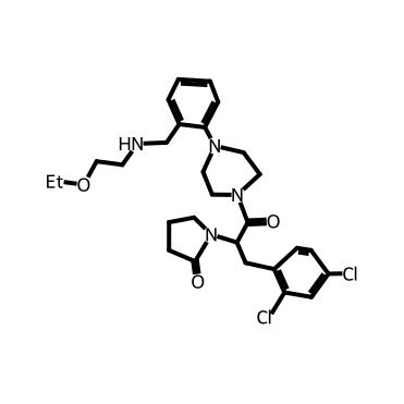 CCOCCNCc1ccccc1N1CCN(C(=O)C(Cc2ccc(Cl)cc2Cl)N2CCCC2=O)CC1